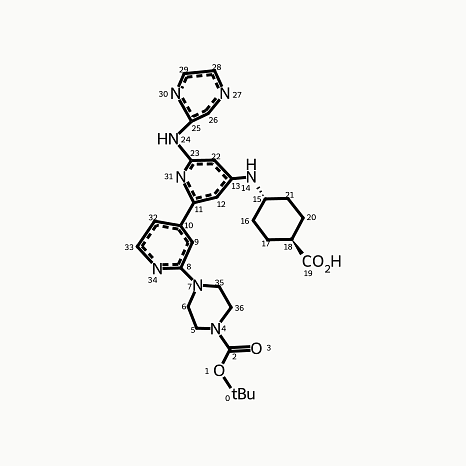 CC(C)(C)OC(=O)N1CCN(c2cc(-c3cc(N[C@H]4CC[C@H](C(=O)O)CC4)cc(Nc4cnccn4)n3)ccn2)CC1